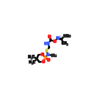 CS/C(C)=N/OC(=O)NCSN(C(C)(C)C)P1(=O)OCC(C)(C)CO1